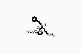 NCCCC[C@H](NC=Cc1ccccc1)C(=O)N1CCC[C@H]1C(=O)O